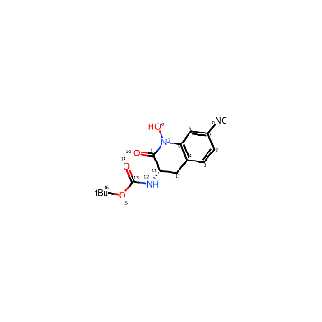 [C-]#[N+]c1ccc2c(c1)N(O)C(=O)[C@@H](NC(=O)OC(C)(C)C)C2